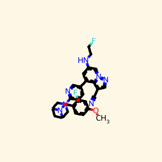 COc1ccc(CN2C3CC2CN(c2ccc(-c4cc(NCCF)cn5ncc(C#N)c45)cn2)C3)c(F)c1